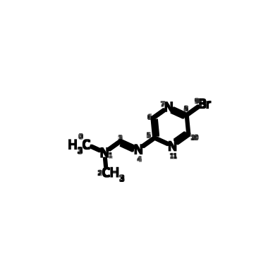 CN(C)/C=N/c1cnc(Br)cn1